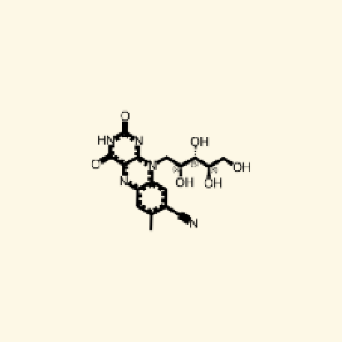 Cc1cc2nc3c(=O)[nH]c(=O)nc-3n(C[C@H](O)[C@H](O)[C@H](O)CO)c2cc1C#N